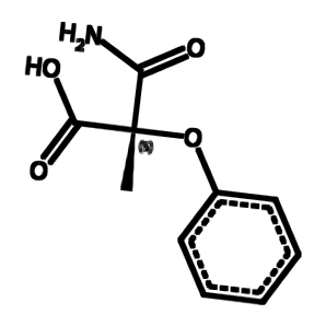 C[C@](Oc1ccccc1)(C(N)=O)C(=O)O